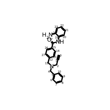 C#CCN(Cc1ccccc1)Cc1ccc(C(=O)Nc2ccccc2N)cc1